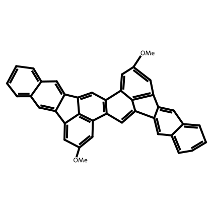 COc1cc2c3cc4ccccc4cc3c3cc4c(cc5c6cc7ccccc7cc6c6cc(OC)cc4c65)c(c1)c23